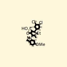 CCn1c(C)c(-n2ncc3ccc(OC)cc32)c(=O)c(C(=O)O)c1-c1ccc(Cl)c(Cl)c1